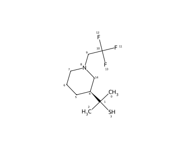 CC(C)(S)[C@H]1CCCN(CC(F)(F)F)C1